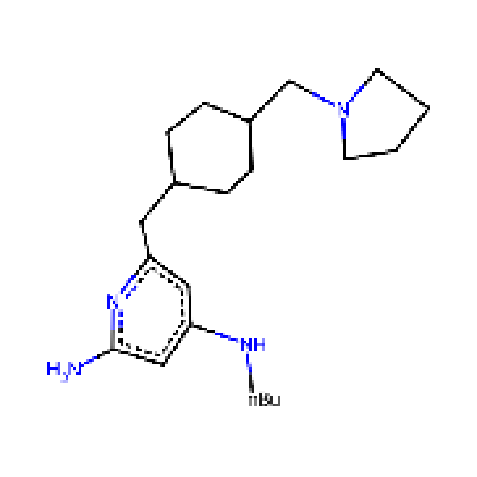 CCCCNc1cc(N)nc(CC2CCC(CN3CCCC3)CC2)c1